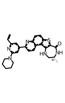 C=Cc1cc(-c2ccc3c(ccc4sc5c(c43)NC[C@@H](C)NC5=O)n2)cc(N2CCCCC2)n1